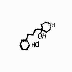 Cl.OC1(CCCc2ccccc2)CCNCC1